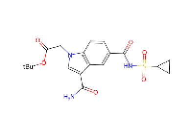 CC(C)(C)OC(=O)Cn1cc(C(N)=O)c2cc(C(=O)NS(=O)(=O)C3CC3)ccc21